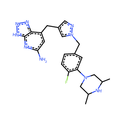 CC1CN(c2cc(Cn3cc(Cc4cc(N)nc5[nH]nnc45)cn3)ccc2F)CC(C)N1